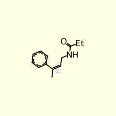 CCC(=O)NC/C=C(/C)c1ccccc1